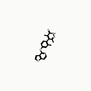 Cc1cc(Oc2nccc3occc23)ccc1-c1c(C)n[nH]c(=O)c1C